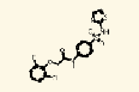 O=C(COc1c(F)cccc1Cl)Nc1ccc(S(=O)(=O)Nc2nccs2)cc1